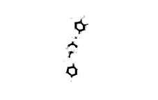 Cc1cc(/N=N/c2cnc(C(O)Oc3ccc([N+](=O)[O-])cc3)nc2)cc(C)c1O